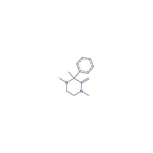 C=C1N(C)CCN(C)C1(C)c1ccccc1